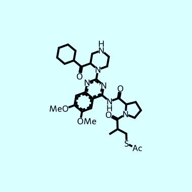 COc1cc2nc(N3CCNCC3C(=O)C3CCCCC3)nc(NC(=O)C3CCCN3C(=O)C(C)CSC(C)=O)c2cc1OC